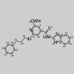 COc1cc(C(=S)Nc2nc3ccccc3s2)cc(OCCCc2ccccc2)n1